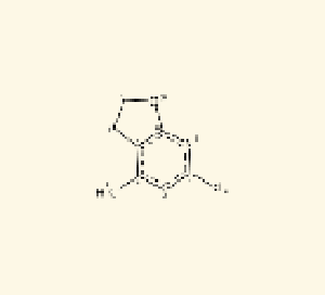 Cc1cc(Cl)nc2c1CCO2